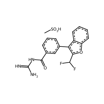 CS(=O)(=O)O.N=C(N)NC(=O)c1cccc(-c2c(C(F)F)oc3ccccc23)c1